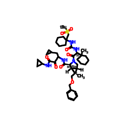 CC1([C@H](NC(=O)NC2(CS(=O)(=O)C(C)(C)C)CCCCC2)C(=O)N2C[C@H]3[C@@H]([C@H]2C(=O)NC(CC2CC2)C(=O)C(=O)NC2CC2)[C@]3(C)COCc2ccccc2)CCCCC1